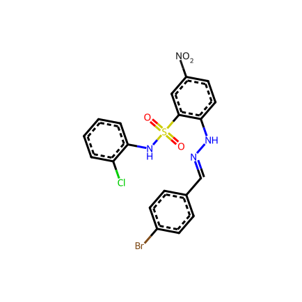 O=[N+]([O-])c1ccc(N/N=C/c2ccc(Br)cc2)c(S(=O)(=O)Nc2ccccc2Cl)c1